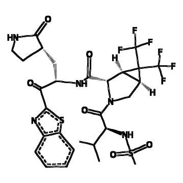 CC(C)[C@H](NS(C)(=O)=O)C(=O)N1C[C@H]2[C@@H]([C@H]1C(=O)N[C@@H](C[C@@H]1CCNC1=O)C(=O)c1nc3ccccc3s1)C2(C(F)(F)F)C(F)(F)F